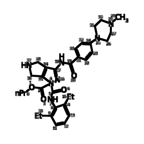 CCCOC(=O)[N+]1(C(=O)Nc2c(CC)cccc2CC)N=C(NC(=O)c2ccc(N3CCN(C)CC3)cc2)C2=C1CNC2